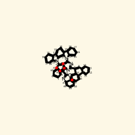 c1ccc(-c2nc(-c3cc4ccccc4c4ccccc34)nc(-n3c4ccccc4c4ccc5c6ccccc6n(-c6ccc(-c7nc8ccccc8o7)cc6)c5c43)n2)cc1